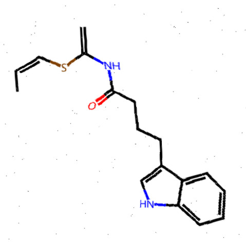 C=C(NC(=O)CCCc1c[nH]c2ccccc12)S/C=C\C